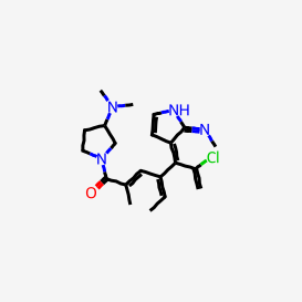 C=C(Cl)C(=C1/C=CN/C1=N/C)/C(/C=C(\C)C(=O)N1CCC(N(C)C)C1)=C/C